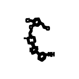 CNc1cccc(-c2cnc(N3CCN(CCOc4cc(CC=O)ccc4Cl)[C@@H](C)C3)s2)c1